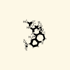 CC1(C)C(NC(=O)O)=N[C@]2(C)c3cc([N+](=O)[O-])ccc3OCCC2(F)S1(=O)=O